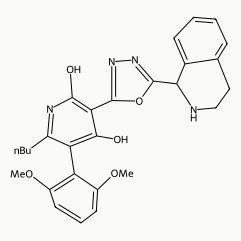 CCCCc1nc(O)c(-c2nnc(C3NCCc4ccccc43)o2)c(O)c1-c1c(OC)cccc1OC